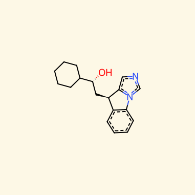 O[C@H](C[C@@H]1c2ccccc2-n2cncc21)C1CCCCC1